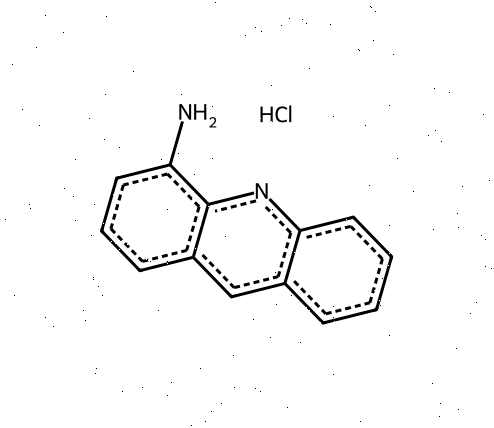 Cl.Nc1cccc2cc3ccccc3nc12